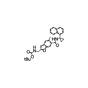 Cc1cc2cc(CNC(=O)OC(C)(C)C)oc2cc1C(=O)NC1(c2cccc3ccccc23)CC1